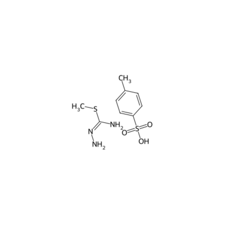 CSC(N)=NN.Cc1ccc(S(=O)(=O)O)cc1